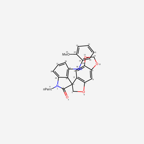 CCCCCN1C(=O)C2(COc3cc4c(cc32)OCO4)c2c(Nc3ccccc3OC)cccc21